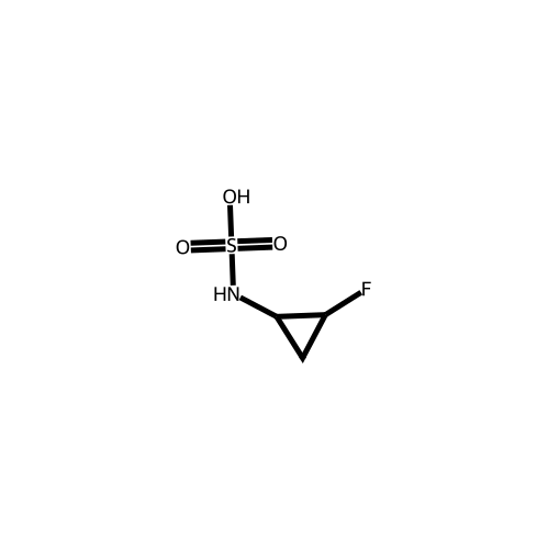 O=S(=O)(O)NC1CC1F